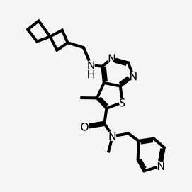 Cc1c(C(=O)N(C)Cc2ccncc2)sc2ncnc(NCC3CC4(CCC4)C3)c12